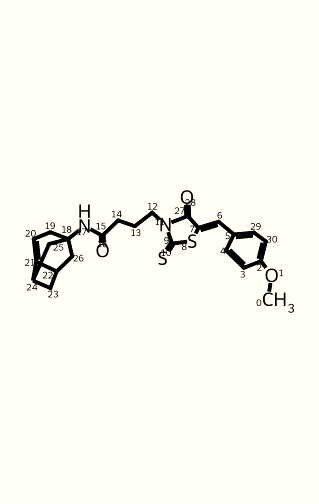 COc1ccc(/C=C2\SC(=S)N(CCCC(=O)NC34CC=C5C(CC5C3)C4)C2=O)cc1